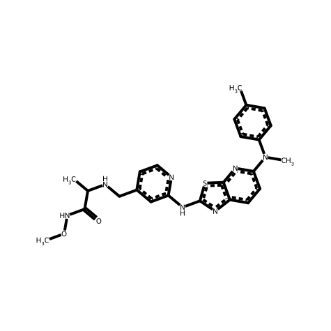 CONC(=O)C(C)NCc1ccnc(Nc2nc3ccc(N(C)c4ccc(C)cc4)nc3s2)c1